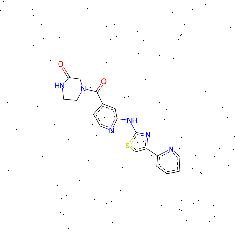 O=C1CN(C(=O)c2ccnc(Nc3nc(-c4ccccn4)cs3)c2)CCN1